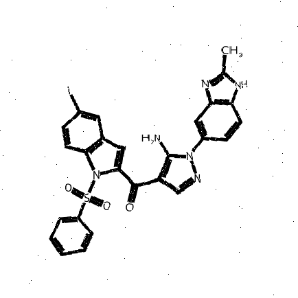 Cc1nc2cc(-n3ncc(C(=O)c4cc5cc(I)ccc5n4S(=O)(=O)c4ccccc4)c3N)ccc2[nH]1